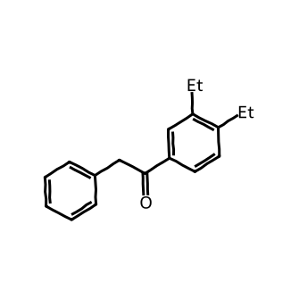 CCc1ccc(C(=O)Cc2ccccc2)cc1CC